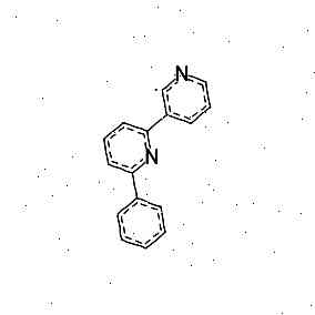 [c]1ncccc1-c1cccc(-c2ccccc2)n1